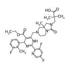 CCOC(=O)C1=C(CN2CCN3C(=O)N(CC(C)(C)C(=O)O)CC3(C)C2)NC(c2ncc(F)cc2F)=NC1c1cccc(F)c1C